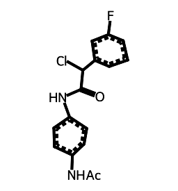 CC(=O)Nc1ccc(NC(=O)C(Cl)c2cccc(F)c2)cc1